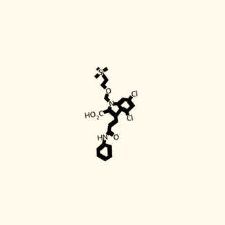 C[Si](C)(C)CCOCn1c(C(=O)O)c(/C=C/C(=O)Nc2ccccc2)c2c(Cl)cc(Cl)cc21